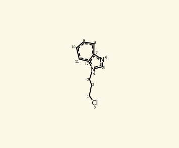 ClCCCn1[c]nc2ccccc21